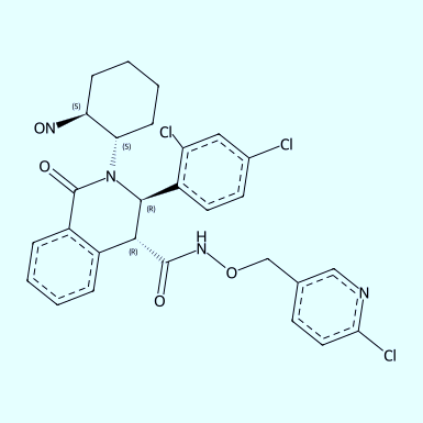 O=N[C@H]1CCCC[C@@H]1N1C(=O)c2ccccc2[C@@H](C(=O)NOCc2ccc(Cl)nc2)[C@@H]1c1ccc(Cl)cc1Cl